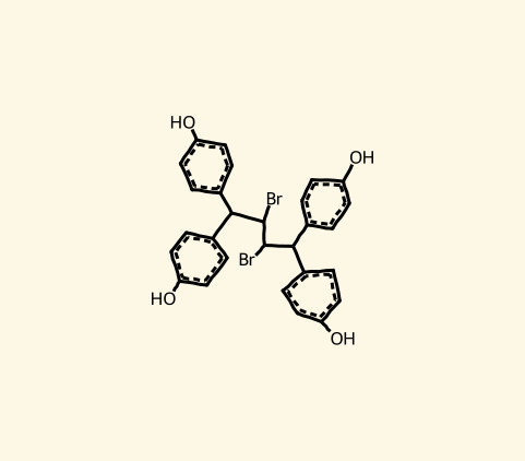 Oc1ccc(C(c2ccc(O)cc2)C(Br)C(Br)C(c2ccc(O)cc2)c2ccc(O)cc2)cc1